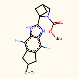 CC(C)(C)OC(=O)N1CC2CC1(c1nc3c(F)c4c(c(F)c3[nH]1)CC(C=O)C4)C2